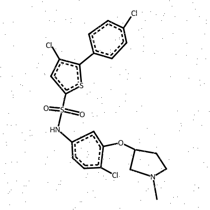 CN1CCC(Oc2cc(NS(=O)(=O)c3cc(Cl)c(-c4ccc(Cl)cc4)s3)ccc2Cl)C1